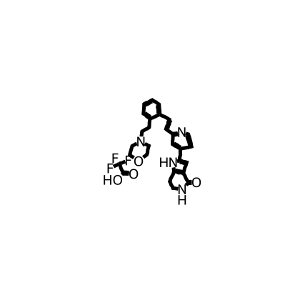 O=C(O)C(F)(F)F.O=C1NCCc2[nH]c(-c3ccnc(/C=C/c4ccccc4CCN4CCOCC4)c3)cc21